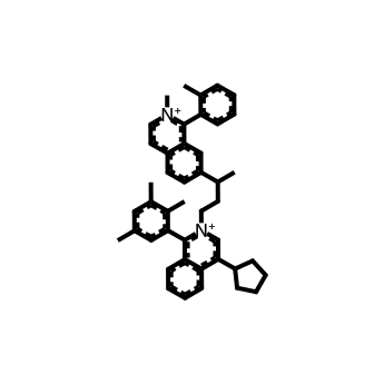 Cc1cc(C)c(C)c(-c2c3ccccc3c(C3CCCC3)c[n+]2CCC(C)c2ccc3cc[n+](C)c(-c4ccccc4C)c3c2)c1